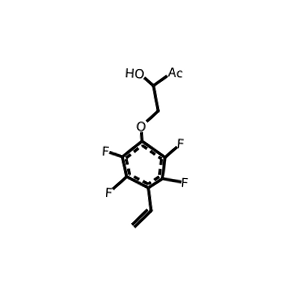 C=Cc1c(F)c(F)c(OCC(O)C(C)=O)c(F)c1F